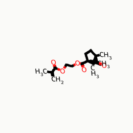 C=C(C)C(=O)OCCOC(=O)C12CCC(C)(C(=O)C1)C2(C)C